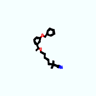 CC(OCCCCCC(C)(C)C#N)c1cccc(OCc2ccccc2)c1